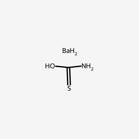 NC(O)=S.[BaH2]